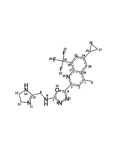 Cc1cc(-c2nnc(NCC3=NCCN3)o2)nc2c(C(F)(F)F)cc(C3CC3)cc12